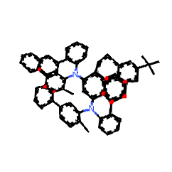 Cc1ccc(-c2ccccc2)cc1N(c1ccccc1-c1ccccc1)c1cc(N(c2cc(-c3ccccc3)ccc2C)c2ccccc2-c2ccccc2)c2ccc3cc(C(C)(C)C)cc4ccc1c2c43